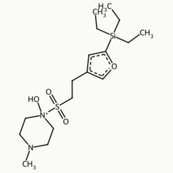 CC[Si](CC)(CC)c1cc(CCS(=O)(=O)[N+]2(O)CCN(C)CC2)co1